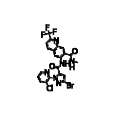 CNC(=O)c1cc2nc(C(F)(F)F)ccc2cc1NC(=O)c1cc(Br)nn1-c1ncccc1Cl